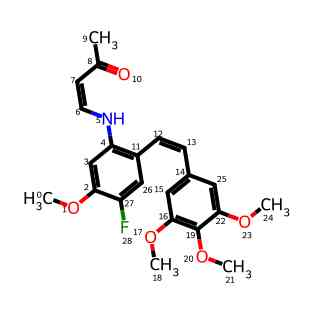 COc1cc(N/C=C\C(C)=O)c(/C=C\c2cc(OC)c(OC)c(OC)c2)cc1F